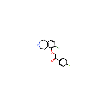 O=C(COc1c(Cl)ccc2c1CCNCC2)c1ccc(F)cc1